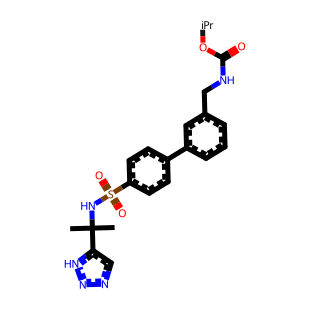 CC(C)OC(=O)NCc1cccc(-c2ccc(S(=O)(=O)NC(C)(C)c3cnn[nH]3)cc2)c1